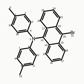 Cc1ccc(N(c2ccc(C)cc2)c2c3ccccc3c(Br)c3ccccc23)cc1